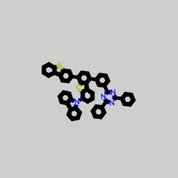 c1ccc(-c2nc(-c3ccccc3)nc(-c3cccc(-c4ccc(-c5ccc6c(c5)sc5ccccc56)c5sc6c(-n7c8ccccc8c8ccccc87)cccc6c45)c3)n2)cc1